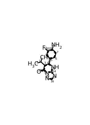 CC(C)c1c(-c2ccc(N)c(F)c2)[nH]c2ncnn2c1=O